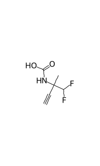 C#CC(C)(NC(=O)O)C(F)F